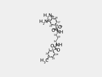 Cc1ccc(S(=O)(=O)NCCCNS(=O)(=O)c2ccc(N)c(N)c2)cc1